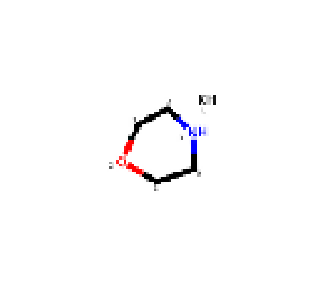 C1COCCN1.[KH]